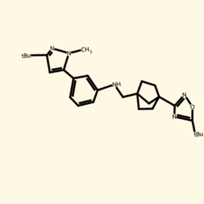 Cn1nc(C(C)(C)C)cc1-c1cccc(NCC23CCC(c4noc(C(C)(C)C)n4)(CC2)C3)c1